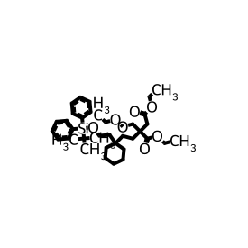 CCOOCC(CCC1(CCO[Si](c2ccccc2)(c2ccccc2)C(C)(C)C)CCCCC1)(CC(=O)OCC)C(=O)OCC